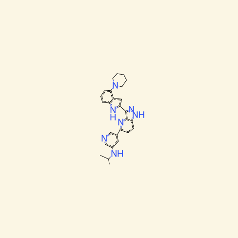 CC(C)Nc1cncc(-c2ccc3[nH]nc(-c4cc5c(N6CCCCC6)cccc5[nH]4)c3n2)c1